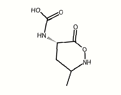 CC1C[C@H](NC(=O)O)C(=O)ON1